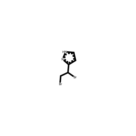 BrCC(Br)c1cc[nH]n1